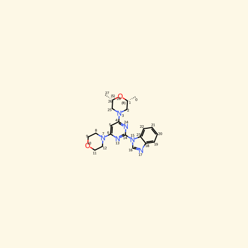 C[C@@H]1CN(c2cc(N3CCOCC3)nc(-n3cnc4ccccc43)n2)C[C@H](C)O1